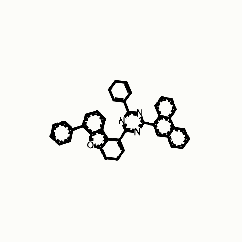 C1=CC(c2nc(C3=CCCc4oc5c(-c6ccccc6)cccc5c43)nc(-c3cc4ccccc4c4ccccc34)n2)=CCC1